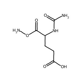 NOC(=O)C(CCC(=O)O)NC(N)=O